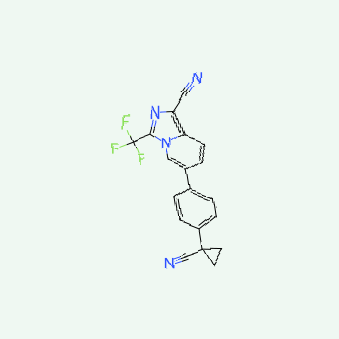 N#Cc1nc(C(F)(F)F)n2cc(-c3ccc(C4(C#N)CC4)cc3)ccc12